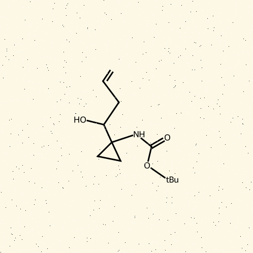 C=CCC(O)C1(NC(=O)OC(C)(C)C)CC1